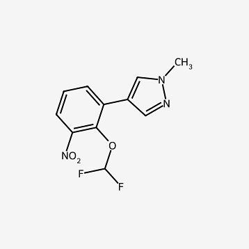 Cn1cc(-c2cccc([N+](=O)[O-])c2OC(F)F)cn1